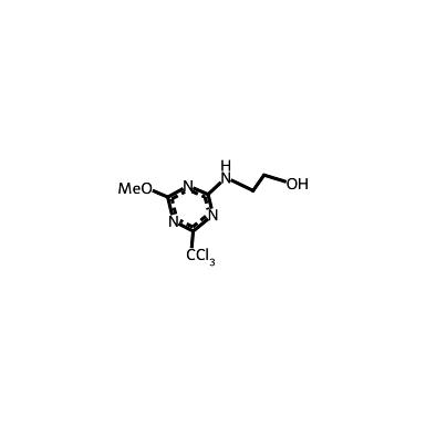 COc1nc(NCCO)nc(C(Cl)(Cl)Cl)n1